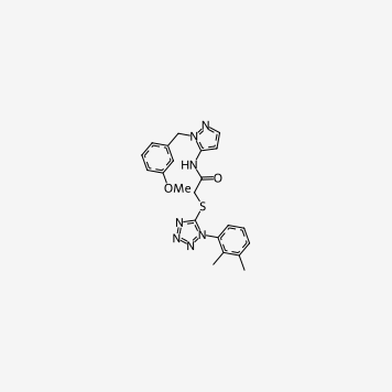 COc1cccc(Cn2nccc2NC(=O)CSc2nnnn2-c2cccc(C)c2C)c1